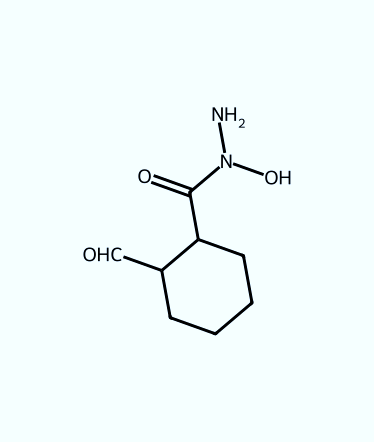 NN(O)C(=O)C1CCCCC1C=O